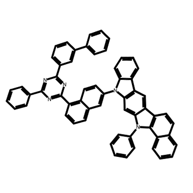 c1ccc(-c2cccc(-c3nc(-c4ccccc4)nc(-c4cccc5cc(-n6c7ccccc7c7cc8c9ccc%10ccccc%10c9n(-c9ccccc9)c8cc76)ccc45)n3)c2)cc1